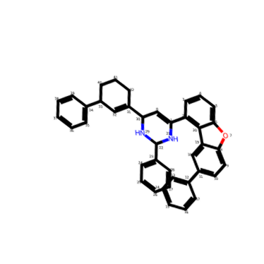 C1=C(c2cccc3oc4ccc(-c5ccccc5)cc4c23)NC(c2ccccc2)NC1C1=CC(c2ccccc2)CCC1